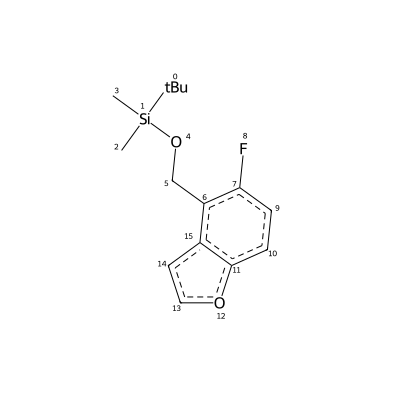 CC(C)(C)[Si](C)(C)OCc1c(F)ccc2occc12